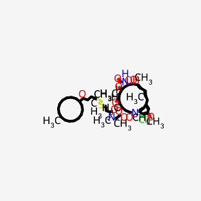 COc1cc2cc(c1Cl)N(C)C(=O)C[C@@H](OC(=O)[C@@H](C)N(C)C(=O)CCSSC(C)(C)CCC(=O)C1CCCCCCCC(C)CCCCCCC1)[C@@]1(C)O[C@@H]1[C@@H](C)[C@H]1C[C@](O)(NC(=O)O1)[C@@H](OC)/C=C/C=C(\C)C2